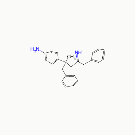 CC(CC(=N)Cc1ccccc1)(Cc1ccccc1)c1ccc(N)cc1